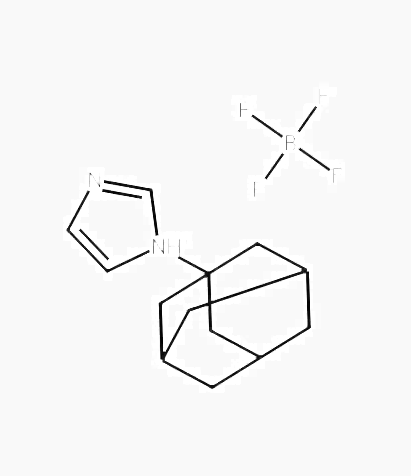 C1=C[NH+](C23CC4CC(CC(C4)C2)C3)C=N1.F[B-](F)(F)F